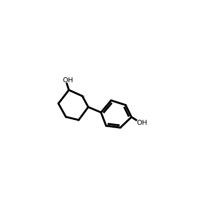 Oc1ccc(C2[CH]C(O)CCC2)cc1